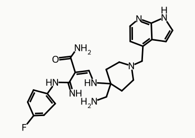 N=C(Nc1ccc(F)cc1)/C(=C\NC1(CN)CCN(Cc2ccnc3[nH]ccc23)CC1)C(N)=O